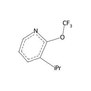 CC(C)c1cccnc1OC(F)(F)F